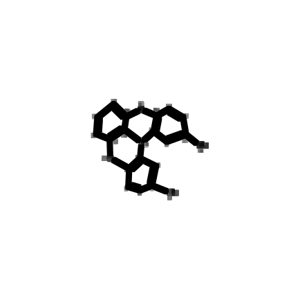 CC(C)(C)c1ccc2c(c1)B1c3cc(C(C)(C)C)ccc3Oc3cccc(c31)O2